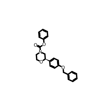 O=C(Oc1ccccc1)N1CCO[C@H](c2ccc(OCc3ccccc3)cc2)C1